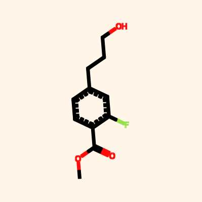 COC(=O)c1ccc(CCCO)cc1F